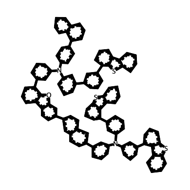 c1cc(-c2cccc(N(c3ccc(-c4cccc5ccccc45)cc3)c3cccc(-c4cccc5c4oc4cc(-c6ccc7cc(-c8cccc(N(c9cccc(-c%10cccc%11sc%12ccccc%12c%10%11)c9)c9cccc(-c%10cccc%11sc%12ccccc%12c%10%11)c9)c8)ccc7c6)ccc45)c3)c2)cc(-c2cccc3c2sc2ccccc23)c1